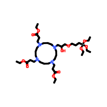 CCOC(=O)CCN1CCCN(CCC(=O)OCC)CCCN(CC(O)COCCC[Si](OCC)(OCC)OCC)CCCN(CCC(=O)OCC)CCC1